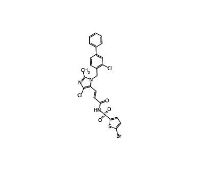 Cc1nc(Cl)c(C=CC(=O)NS(=O)(=O)c2ccc(Br)s2)n1Cc1ccc(-c2ccccc2)cc1Cl